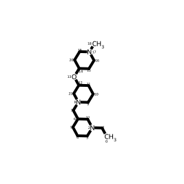 CCN1CCCC(CN2CCCC(OC3CCN(C)CC3)C2)C1